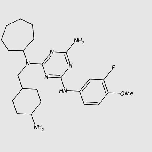 COc1ccc(Nc2nc(N)nc(N(CC3CCC(N)CC3)C3CCCCCC3)n2)cc1F